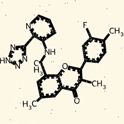 Cc1cc([C@@H](C)Nc2cccnc2-c2nn[nH]n2)c2oc(-c3ccc(C)c(F)c3)c(C)c(=O)c2c1